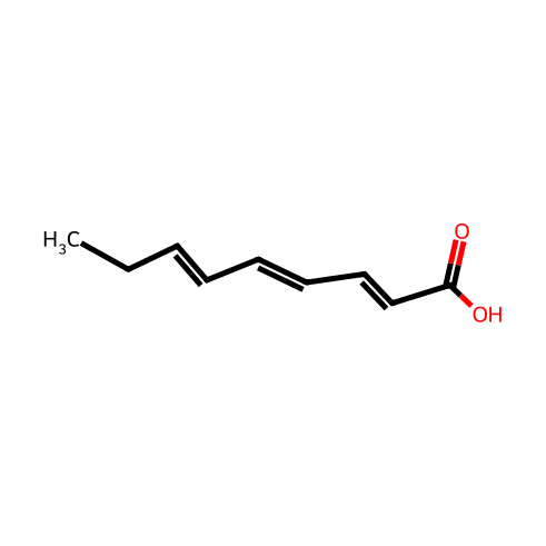 CC/C=C/C=C/C=C/C(=O)O